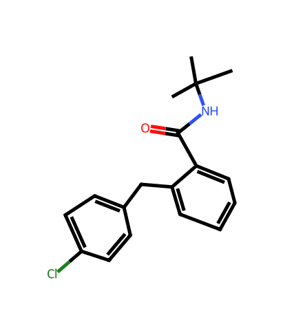 CC(C)(C)NC(=O)c1ccccc1Cc1ccc(Cl)cc1